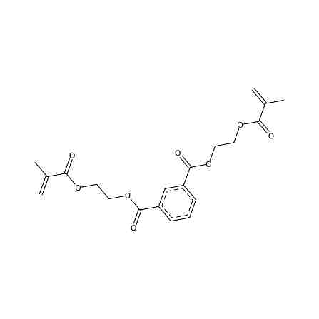 C=C(C)C(=O)OCCOC(=O)c1cccc(C(=O)OCCOC(=O)C(=C)C)c1